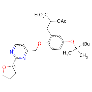 CCOC(=O)C(Cc1cc(O[Si](C)(C)C(C)(C)C)ccc1OCc1ccnc([C@@H]2CCCO2)n1)OC(C)=O